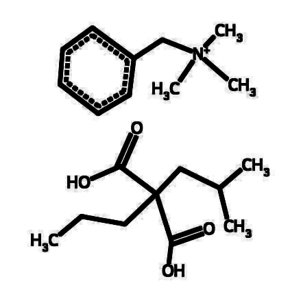 CCCC(CC(C)C)(C(=O)O)C(=O)O.C[N+](C)(C)Cc1ccccc1